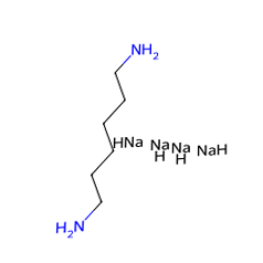 NCCCCCCN.[NaH].[NaH].[NaH].[NaH]